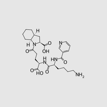 NCCCC[C@H](NC(=O)c1cccnc1)C(=O)N[C@H](CCC(=O)N1[C@H](C(=O)O)C[C@@H]2CCCC[C@@H]21)C(=O)O